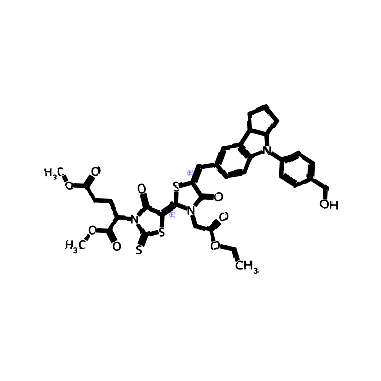 CCOC(=O)Cn1c(=O)/c(=C\c2ccc3c(c2)C2CCCC2N3c2ccc(CO)cc2)s/c1=C1/SC(=S)N(C(CCC(=O)OC)C(=O)OC)C1=O